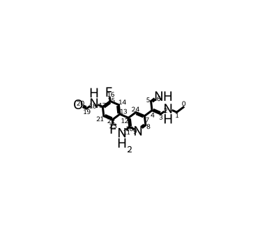 CCN/C=C(\C=N)c1cnc(N)c(-c2cc(F)c(NC=O)cc2F)c1